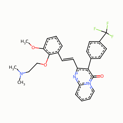 COc1cccc(C=Cc2nc3ccccn3c(=O)c2-c2ccc(C(F)(F)F)cc2)c1OCCN(C)C